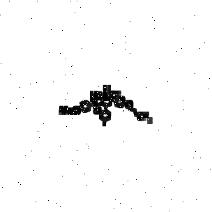 COc1ccc(NC(=O)C2=C(c3ccc(C)cc3)C[C@@](c3ccc(OCCCC(F)(F)F)cc3)(C(F)(F)F)NC2=O)cc1